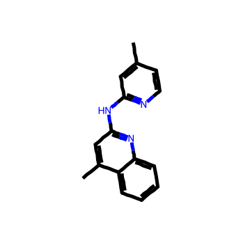 Cc1ccnc(Nc2cc(C)c3ccccc3n2)c1